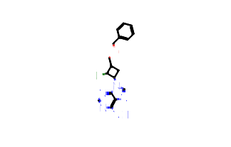 Nc1ncnc2c1ncn2C1CC(COCc2ccccc2)C1F